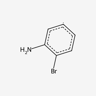 Nc1c[c]ccc1Br